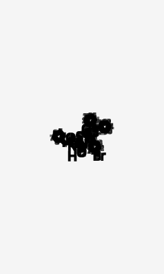 O=C(Cc1ccccc1)NC1C(=O)N2CC(Sc3ccc(Br)cc3)(C(=O)OC(c3ccccc3)c3ccccc3)CS[C@H]12